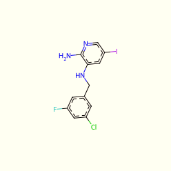 Nc1ncc(I)cc1NCc1cc(F)cc(Cl)c1